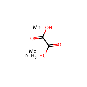 O=C(O)C(=O)O.[MgH2].[Mn].[Ni]